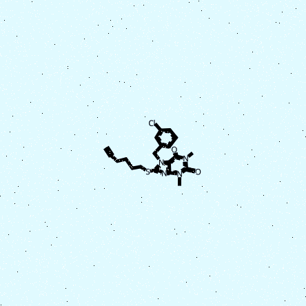 C#CCCCCSc1nc2c(c(=O)n(C)c(=O)n2C)n1Cc1cccc(Cl)c1